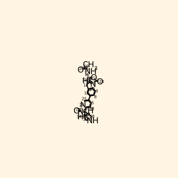 [C-]#[N+][C@]1(c2ccc(-c3ccc4c(c3)C[C@H]3[C@H](CNC(C)=O)OC(=O)N43)cn2)[C@@H]2CNC[C@@H]21